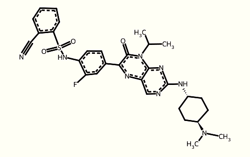 CC(C)n1c(=O)c(-c2ccc(NS(=O)(=O)c3ccccc3C#N)c(F)c2)nc2cnc(N[C@H]3CC[C@H](N(C)C)CC3)nc21